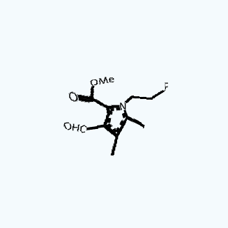 COC(=O)c1c(C=O)c(C)c(C)n1CCF